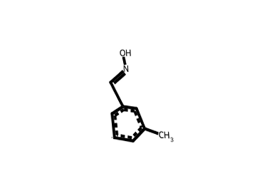 Cc1c[c]cc(C=NO)c1